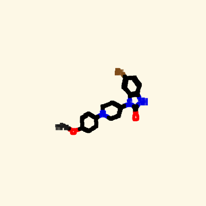 CCCOC1CCC(N2CCC(n3c(=O)[nH]c4ccc(Br)cc43)CC2)CC1